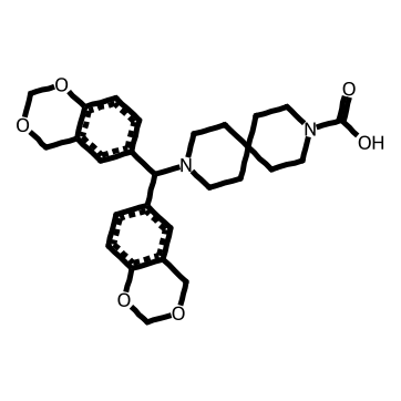 O=C(O)N1CCC2(CC1)CCN(C(c1ccc3c(c1)COCO3)c1ccc3c(c1)COCO3)CC2